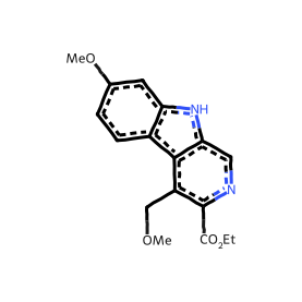 CCOC(=O)c1ncc2[nH]c3cc(OC)ccc3c2c1COC